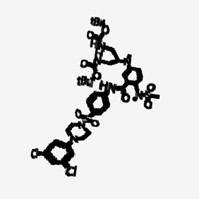 CN(c1ccc(N(C)S(C)(=O)=O)c(C(=O)Nc2ccc(S(=O)(=O)N3CCN(c4cc(Cl)cc(Cl)c4)CC3)cc2)c1)C(CNC(=O)OC(C)(C)C)CNC(=O)OC(C)(C)C